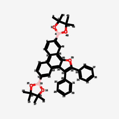 CC1(C)OB(c2ccc3c4ccc(B5OC(C)(C)C(C)(C)O5)cc4c4c(-c5ccccc5)c(-c5ccccc5)oc4c3c2)OC1(C)C